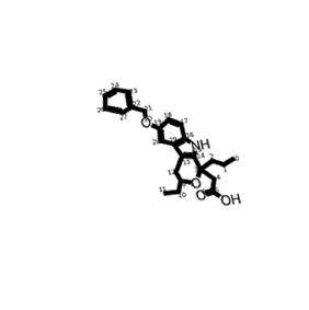 CCCC1(CC(=O)O)OC(CC)Cc2c1[nH]c1ccc(OCc3ccccc3)cc21